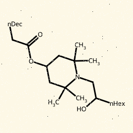 CCCCCCCCCCCC(=O)OC1CC(C)(C)N(CC(O)CCCCCC)C(C)(C)C1